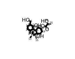 Cc1ccc(CO)c2c1[C@]13CCN(C)[C@H](C)[C@]1(O)CC=C(OC(=O)[C@H](C)O)[C@@H]3O2